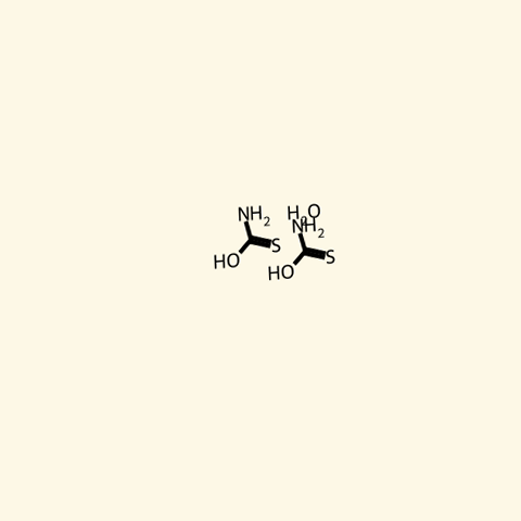 NC(O)=S.NC(O)=S.O